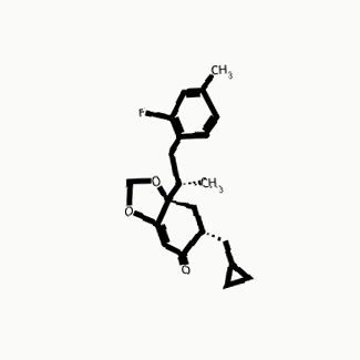 Cc1ccc(C[C@H](C)[C@]23C[C@H](CC4CC4)C(=O)C=C2OCO3)c(F)c1